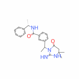 CC(c1cccc(C(=O)N[C@@H](C)c2ccccc2)c1)N1C(=N)NC(C)(C)CC1=O